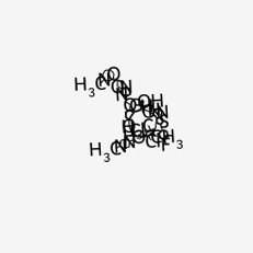 Cc1c(Cl)c2c(Cl)c(C)c1-c1c(-c3ccc(F)cc3)sc3ncnc(c13)O[C@@H](C(=O)O)Cc1cc(ccc1OCc1ccnc(OC[C@@H]3CN(C)CCCO3)n1)OC[C@@H](CN1CCN(C)CC1)O2